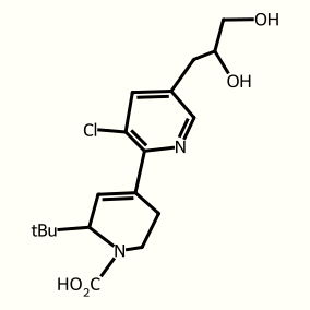 CC(C)(C)C1C=C(c2ncc(CC(O)CO)cc2Cl)CCN1C(=O)O